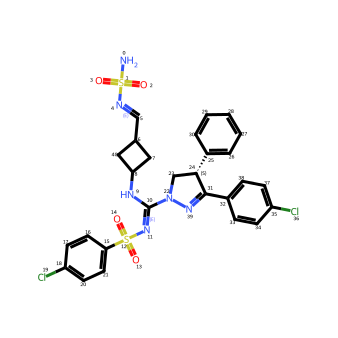 NS(=O)(=O)/N=C/C1CC(N/C(=N\S(=O)(=O)c2ccc(Cl)cc2)N2C[C@H](c3ccccc3)C(c3ccc(Cl)cc3)=N2)C1